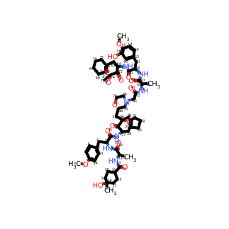 COc1ccc(CC(NC(=O)C(C)NC(=O)C2CCC(C)(O)CC2)C(=O)NC(CC2=CCCC2)C(=O)C2(CC3CN(CC(=O)NC(C)C(=O)NC(Cc4ccc(OC)c(O)c4)C(=O)NC(CC4=CCCCC4)C(=O)C4(C)CO4)CCO3)CO2)cc1